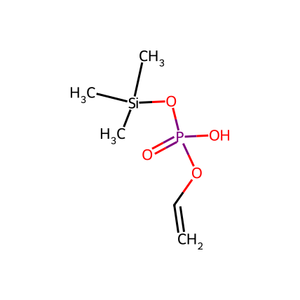 C=COP(=O)(O)O[Si](C)(C)C